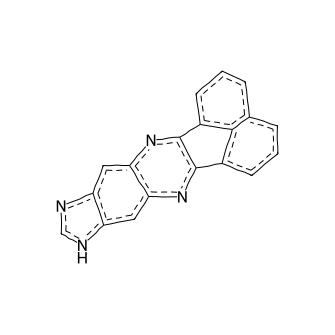 c1cc2c3c(cccc3c1)-c1nc3cc4[nH]cnc4cc3nc1-2